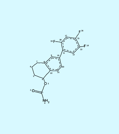 NC(=O)OC1CCCc2cc(-c3cc(F)c(F)cc3F)ccc21